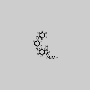 CNCc1c[nH]c2cc(Nc3ccc(Oc4ccccc4)cc3)ccc12